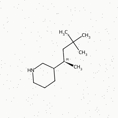 C[C@H](CC(C)(C)C)C1CCCNC1